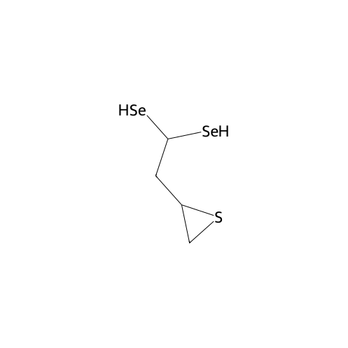 [SeH]C([SeH])CC1CS1